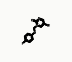 O=c1ncc(Br)cn1CSc1ccc(F)cc1